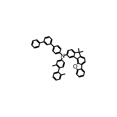 Cc1ccccc1-c1ccc(N(c2ccc(-c3cccc(-c4ccccc4)c3)cc2)c2ccc3c(c2)-c2c(ccc4c2oc2ccccc24)C3(C)C)cc1C